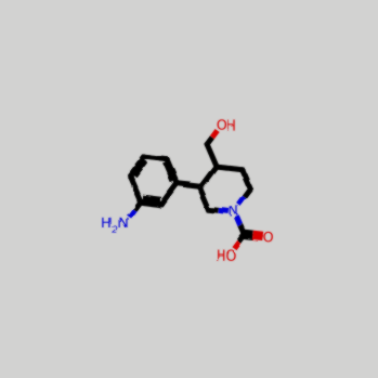 Nc1cccc(C2CN(C(=O)O)CCC2CO)c1